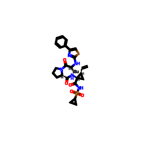 C=C[C@@H]1C[C@]1(NC(=O)[C@@H]1CCCN1C(=O)[C@@H](Nc1nc(-c2ccccc2)cs1)C(C)(C)C)C(=O)NS(=O)(=O)C1CC1